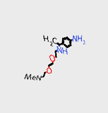 C=C(NCCOCCOCCNC)c1ccc(N)cc1